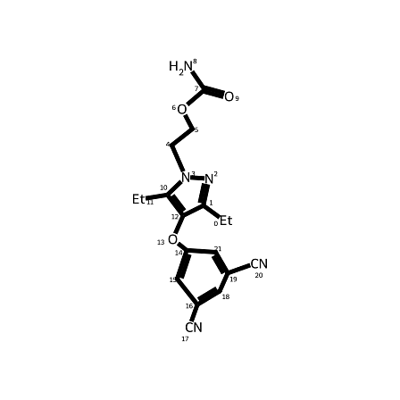 CCc1nn(CCOC(N)=O)c(CC)c1Oc1cc(C#N)cc(C#N)c1